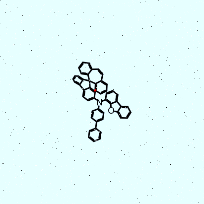 C1=Cc2ccccc2C2(c3ccccc31)c1ccccc1-c1ccc(N(c3ccc(-c4ccccc4)cc3)c3cccc4c3oc3ccccc34)cc12